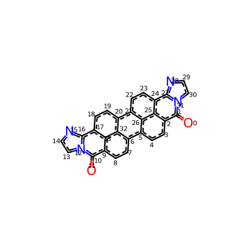 O=c1c2ccc3c4ccc5c(=O)n6ccnc6c6ccc(c7ccc(c2c37)c2nccn12)c4c56